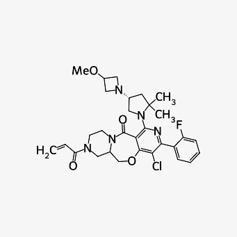 C=CC(=O)N1CCN2C(=O)c3c(N4C[C@H](N5CC(OC)C5)CC4(C)C)nc(-c4ccccc4F)c(Cl)c3OCC2C1